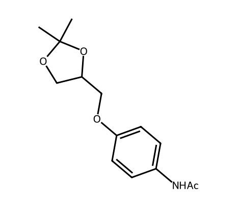 CC(=O)Nc1ccc(OCC2COC(C)(C)O2)cc1